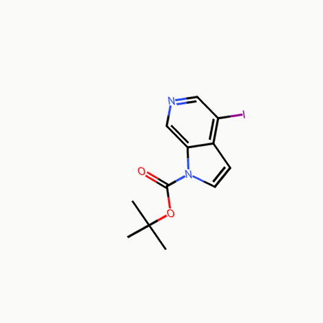 CC(C)(C)OC(=O)n1ccc2c(I)cncc21